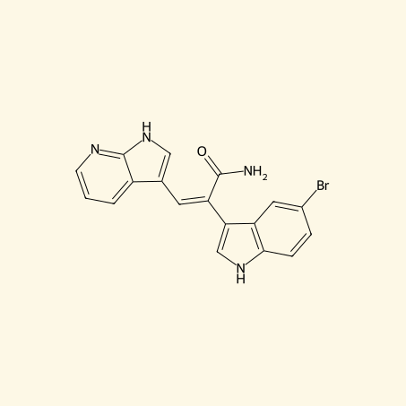 NC(=O)C(=Cc1c[nH]c2ncccc12)c1c[nH]c2ccc(Br)cc12